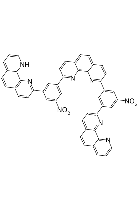 O=[N+]([O-])c1cc(-c2ccc3c(n2)C2NC=CC=C2C=C3)cc(-c2ccc3ccc4ccc(-c5cc(-c6ccc7ccc8cccnc8c7n6)cc([N+](=O)[O-])c5)nc4c3n2)c1